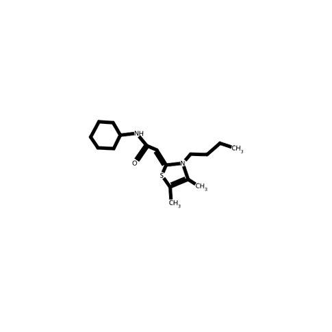 CCCCN1C(=CC(=O)NC2CCCCC2)SC(C)=C1C